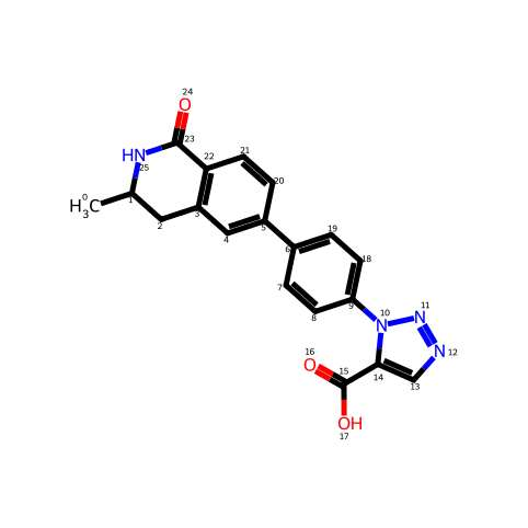 CC1Cc2cc(-c3ccc(-n4nncc4C(=O)O)cc3)ccc2C(=O)N1